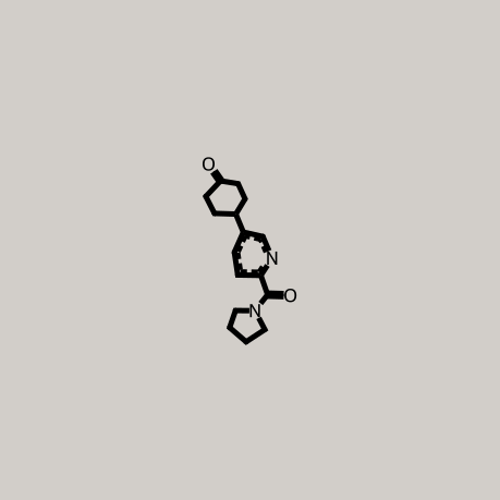 O=C1CCC(c2ccc(C(=O)N3CCCC3)nc2)CC1